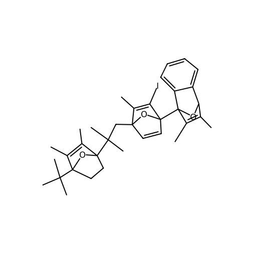 CC1=C(C)C2(C34C=CC(CC(C)(C)C56CCC(C(C)(C)C)(O5)C(C)=C6C)(O3)C(C)=C4I)OC1c1ccccc12